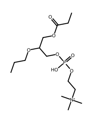 CCCOC(COC(=O)CC)COP(=O)(O)OCC[N+](C)(C)C